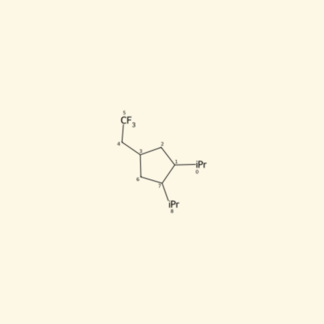 CC(C)C1CC(CC(F)(F)F)CC1C(C)C